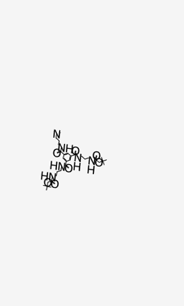 CN(C)CCCNC(=O)c1cc(C(=O)NCCCNC(=O)OC(C)(C)C)cc(C(=O)NCCCNC(=O)OC(C)(C)C)c1